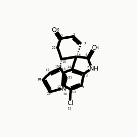 O=C1C=C[C@@]2(C(=O)Nc3cc(Cl)ccc32)[C@H](c2cccnc2)C1